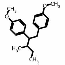 CCC(C)C(Cc1ccc(OC)cc1)c1ccc(OC)cc1